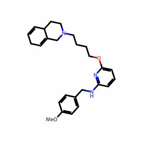 COc1ccc(CNc2cccc(OCCCCN3CCC4C=CCC=C4C3)n2)cc1